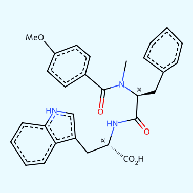 COc1ccc(C(=O)N(C)[C@@H](Cc2ccccc2)C(=O)N[C@@H](Cc2c[nH]c3ccccc23)C(=O)O)cc1